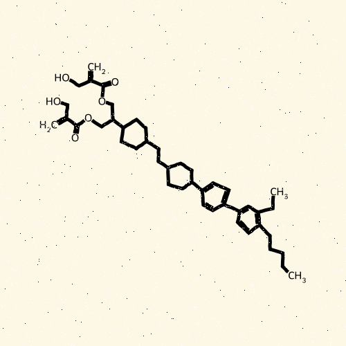 C=C(CO)C(=O)OCC(COC(=O)C(=C)CO)C1CCC(CCC2CCC(c3ccc(-c4ccc(CCCCC)c(CC)c4)cc3)CC2)CC1